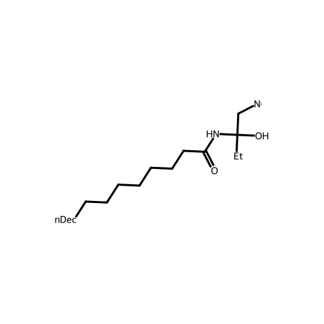 CCCCCCCCCCCCCCCCCC(=O)NC(O)(CC)C[N]